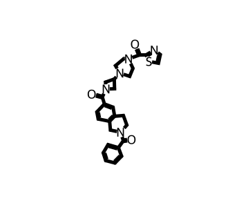 O=C(c1ccccc1)N1CCc2cc(C(=O)N3CC(N4CCN(C(=O)c5nccs5)CC4)C3)ccc2C1